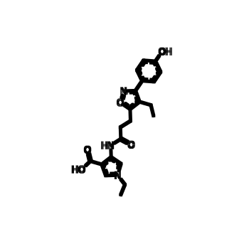 CCc1c(-c2ccc(O)cc2)noc1CCC(=O)Nc1cn(CC)cc1C(=O)O